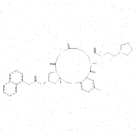 CN1CC(=O)N2C[C@H](NC(=O)Cc3cccc4ccccc34)C[C@H]2COc2ccc(F)cc2C(=O)N(C)[C@@H](C(=O)NCCN2CCCC2)CCC1=O